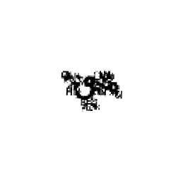 CC(=O)OC(F)(F)F.O=C1NCCCCC[C@H](n2cnc(-c3cc(Cl)ccc3-n3cc(Cl)nn3)cc2=O)c2cccc(c2)N2CCN(C3COC3)C[C@H]12